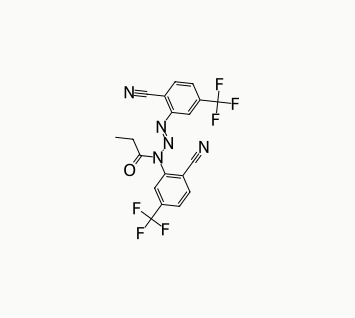 CCC(=O)N(N=Nc1cc(C(F)(F)F)ccc1C#N)c1cc(C(F)(F)F)ccc1C#N